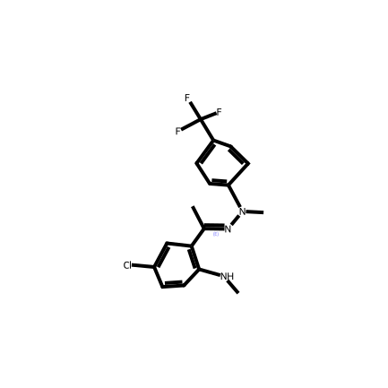 CNc1ccc(Cl)cc1/C(C)=N/N(C)c1ccc(C(F)(F)F)cc1